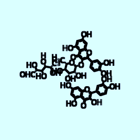 C[C@@H]1O[C@@H](Oc2c(-c3ccc(O)c(O)c3)oc3cc(O)cc(O)c3c2=O)[C@H](O)[C@H](O)[C@H]1O.C[C@H](O)[C@H](O)[C@@H](O)[C@@H](O)C=O.O=c1c(O)c(-c2ccc(O)c(O)c2)oc2cc(O)cc(O)c12